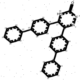 O=c1nnc(-c2ccc(-c3ccccc3)cc2)c(-c2ccc(-c3ccccc3)cc2)[nH]1